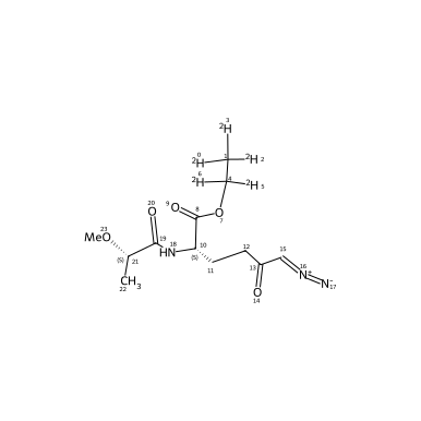 [2H]C([2H])([2H])C([2H])([2H])OC(=O)[C@H](CCC(=O)C=[N+]=[N-])NC(=O)[C@H](C)OC